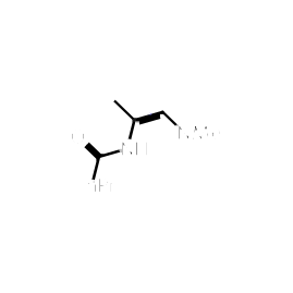 CCCC(=O)N/C(C)=C\NC